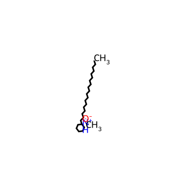 CCCCCCCCCCCCCCCCCCCCC1([NH+](C)[O-])CCCCC1